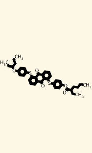 CCCCC(CC)C(=O)Oc1ccc(Sc2cccc3c2C(=O)c2cccc(Sc4ccc(OC(CC)CCC)cc4)c2C3=O)cc1